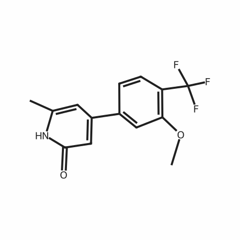 COc1cc(-c2cc(C)[nH]c(=O)c2)ccc1C(F)(F)F